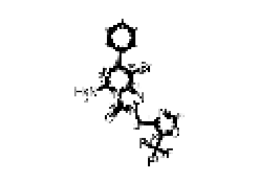 Nc1nc(-c2ccccc2)c(Br)c2nn(Cc3ncoc3C(F)(F)F)c(=O)n12